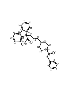 O=C(Cc1ccccc1)N1CCN(CCCC2(C(=O)Cl)c3ccccc3-c3ccccc32)CC1